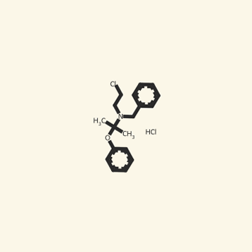 CC(C)(Oc1ccccc1)N(CCCl)Cc1ccccc1.Cl